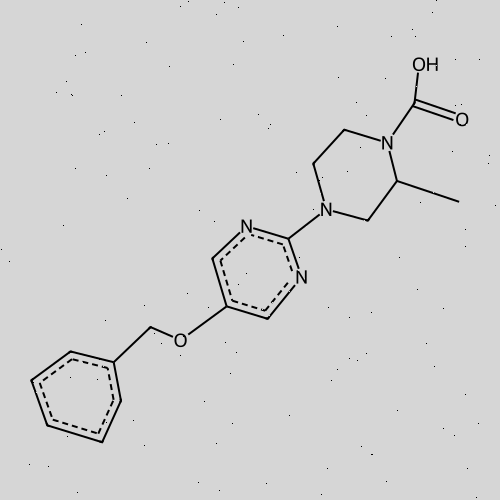 CC1CN(c2ncc(OCc3ccccc3)cn2)CCN1C(=O)O